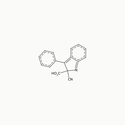 N#CC1(C(=O)O)N=c2ccccc2=C1c1ccccc1